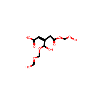 O=C(O)/C=C(/CC(=O)OCOO)C(O)OCOCO